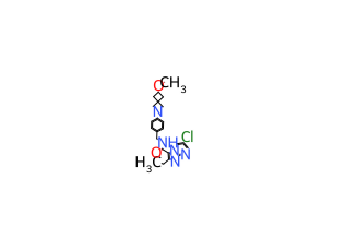 CCc1nc2ncc(Cl)cn2c1C(=O)NCc1ccc(N2CC3(CC(OC)C3)C2)cc1